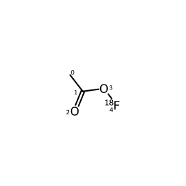 CC(=O)O[18F]